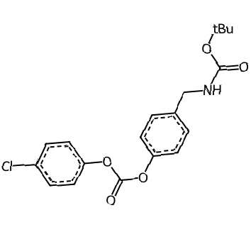 CC(C)(C)OC(=O)NCc1ccc(OC(=O)Oc2ccc(Cl)cc2)cc1